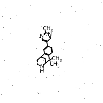 Cc1ncc(-c2ccc3c(c2)C2CCNC(C2)C3(C)C)cn1